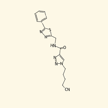 N#CCCCCn1cc(C(=O)NCc2nnc(-c3ccccc3)s2)nn1